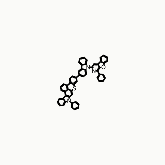 c1ccc(-c2nc(-n3c4ccccc4c4cc(-c5ccc6c(c5)Sc5cc7c(c8cccc-6c58)c5ccccc5n7-c5ccccc5)ccc43)cc3c2oc2ccccc23)cc1